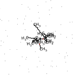 CC#Cc1cc(C(C)(C)C)cc2c3cc(C(C)(C)C)cc(C#Cc4ccc(C5=C6C(=O)N(CCCCCCCC)C(c7ccc(C)s7)=C6C(=O)N5CCCCCCCC)s4)c3n(CCCCCCCCCCCCCCCC)c12